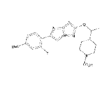 CCOC(=O)N1CCC(C(C)Oc2nn3cc(-c4ccc(SC)cc4F)nc3s2)CC1